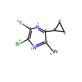 CC(C)c1nc(Br)c(F)nc1C1CC1